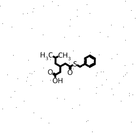 CC(C)CC(CC(=O)O)CC(=O)SCc1ccccc1